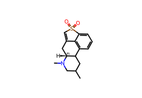 CC1CC2c3cccc4c3C(=CS4(=O)=O)C[C@H]2N(C)C1